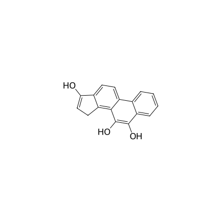 OC1=CCc2c1ccc1c2c(O)c(O)c2ccccc21